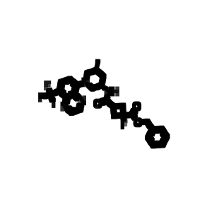 C[C@H]1C[C@@H](NC(=O)C2CC(F)(C(=O)OCc3ccccc3)C2)CN(c2ccc(C(F)(F)I)c3nccnc23)C1